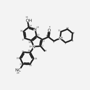 Cc1c(C(=O)CN2CCCCC2)c2nc(O)ccc2n1-c1ccc(C#N)cc1